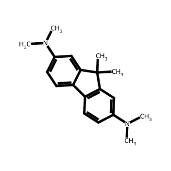 CN(C)c1ccc2c(c1)C(C)(C)c1cc(N(C)C)ccc1-2